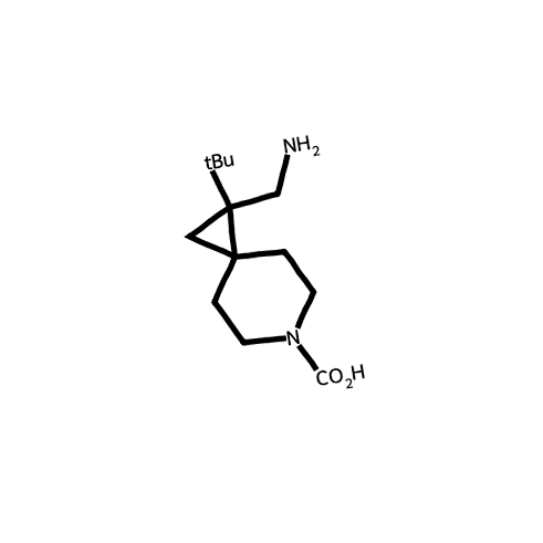 CC(C)(C)C1(CN)CC12CCN(C(=O)O)CC2